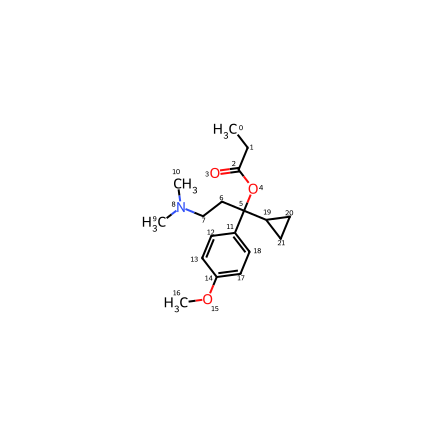 CCC(=O)OC(CCN(C)C)(c1ccc(OC)cc1)C1CC1